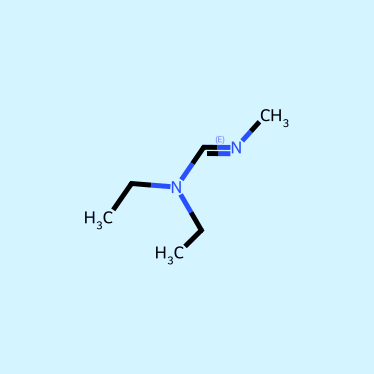 CCN(/C=N/C)CC